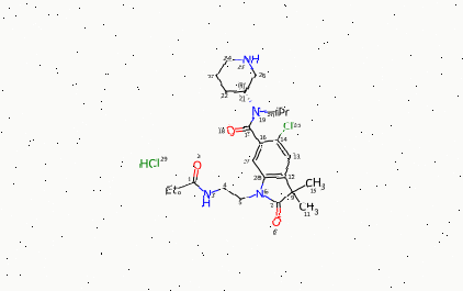 CCC(=O)NCCN1C(=O)C(C)(C)c2cc(Cl)c(C(=O)N(C(C)C)[C@@H]3CCCNC3)cc21.Cl